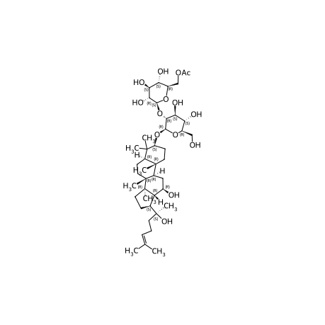 CC(=O)OC[C@H]1O[C@@H](O[C@H]2[C@H](O[C@H]3CC[C@]4(C)[C@H]5C[C@@H](O)[C@@H]6[C@@H]([C@@](C)(O)CCC=C(C)C)CC[C@@]6(C)[C@]5(C)CC[C@H]4C3(C)C)O[C@H](CO)[C@@H](O)[C@@H]2O)[C@H](O)[C@@H](O)[C@@H]1O